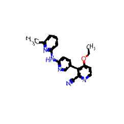 CCOc1ccnc(C#N)c1-c1ccc(Nc2cccc(C)n2)nc1